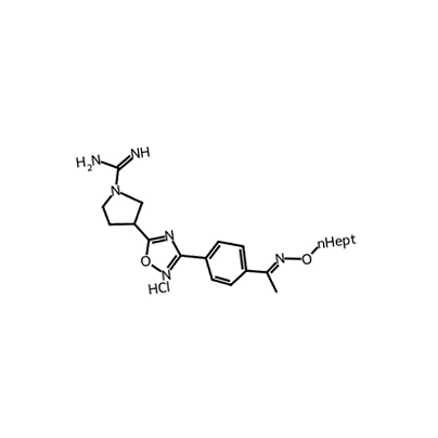 CCCCCCCON=C(C)c1ccc(-c2noc(C3CCN(C(=N)N)C3)n2)cc1.Cl